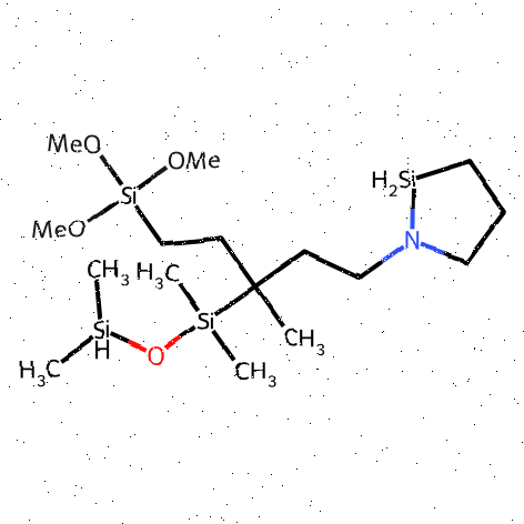 CO[Si](CCC(C)(CCN1CCC[SiH2]1)[Si](C)(C)O[SiH](C)C)(OC)OC